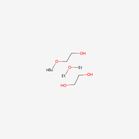 CCCCOCCO.CCOCC.OCCO